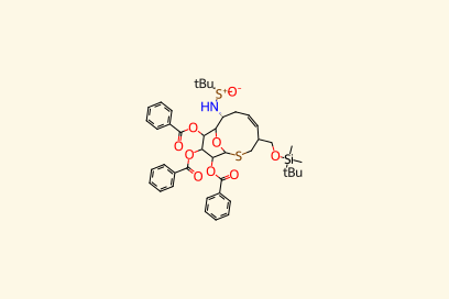 CC(C)(C)[S@@+]([O-])N[C@@H]1C/C=C\C(CO[Si](C)(C)C(C)(C)C)CSC2OC1C(OC(=O)c1ccccc1)C(OC(=O)c1ccccc1)C2OC(=O)c1ccccc1